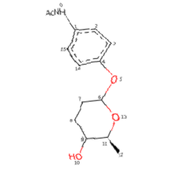 CC(=O)Nc1ccc(OC2CCC(O)[C@H](C)O2)cc1